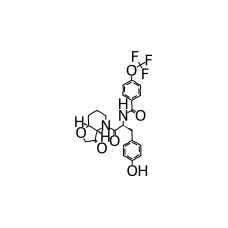 O=C(N[C@@H](Cc1ccc(O)cc1)C(=O)N1CCC[C@H]2OCC(=O)[C@H]21)c1ccc(OC(F)(F)F)cc1